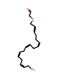 CC/C=C\C/C=C\C/C=C\C/C=C\CC/C=C/CSCC=O